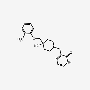 Cc1ccccc1OCC1(C#N)CCN(Cc2ncc[nH]c2=O)CC1